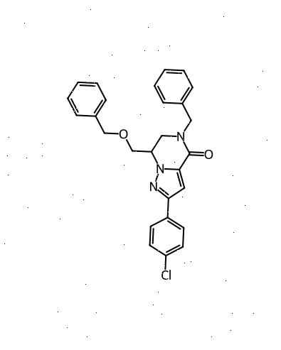 O=C1c2cc(-c3ccc(Cl)cc3)nn2C(COCc2ccccc2)CN1Cc1ccccc1